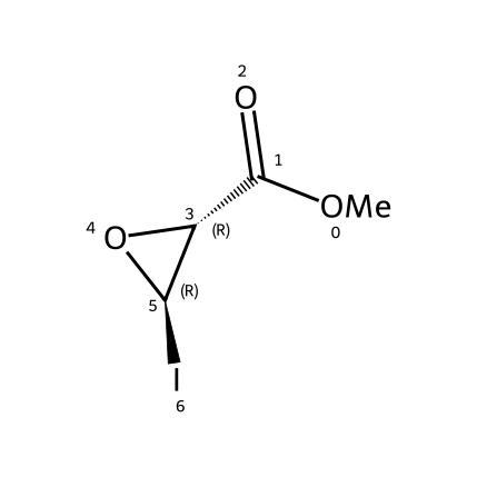 COC(=O)[C@H]1O[C@@H]1I